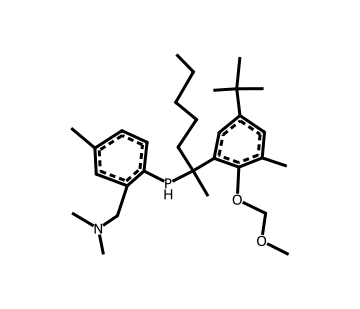 CCCCCC(C)(Pc1ccc(C)cc1CN(C)C)c1cc(C(C)(C)C)cc(C)c1OCOC